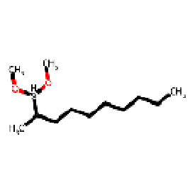 CCCCCCCCC(C)[SiH](OC)OC